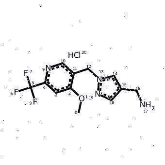 COc1cc(C(F)(F)F)ncc1Cn1cc(CN)cn1.Cl